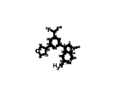 Cn1cc(-c2cc(C(F)F)cc(C3CCOC3)n2)c2cc(N)ncc21